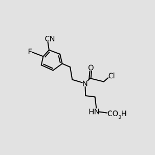 N#Cc1cc(CCN(CCNC(=O)O)C(=O)CCl)ccc1F